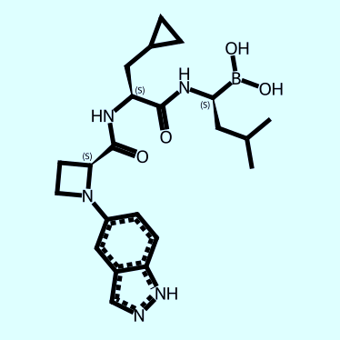 CC(C)C[C@@H](NC(=O)[C@H](CC1CC1)NC(=O)[C@@H]1CCN1c1ccc2[nH]ncc2c1)B(O)O